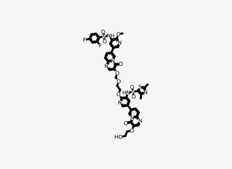 COc1ncc(-c2ccc3ncc(OCOCCOc4ncc(-c5ccc6ncc(OCCO)c(=O)n6c5)cc4NS(=O)(=O)c4sc(C)nc4C)c(=O)n3c2)cc1NS(=O)(=O)c1ccc(F)cc1F